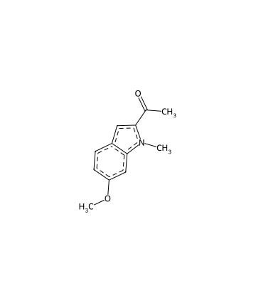 COc1ccc2cc(C(C)=O)n(C)c2c1